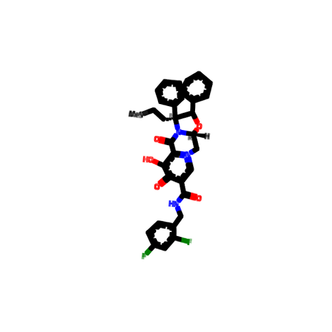 CSCC[C@]1(c2ccccc2)C(c2ccccc2)O[C@@H]2Cn3cc(C(=O)NCc4ccc(F)cc4F)c(=O)c(O)c3C(=O)N21